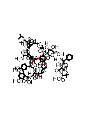 CC1(C)S[C@@H]2[C@H](NC(=O)[C@H](N)c3ccccc3)C(=O)N2[C@H]1C(=O)O.CN[C@H](CC(C)C)C(=O)N[C@H]1C(=O)N[C@@H](CC(N)=O)C(=O)N[C@H]2C(=O)N[C@H]3C(=O)N[C@H](C(=O)N[C@@H](C(=O)O)c4cc(O)cc(O)c4-c4cc3ccc4O)[C@H](O)c3ccc(c(Cl)c3)Oc3cc2cc(c3O[C@@H]2O[C@H](CO)[C@@H](O)[C@H](O)[C@H]2O[C@H]2C[C@](C)(N)C(O)[C@H](C)O2)Oc2ccc(cc2Cl)[C@H]1O